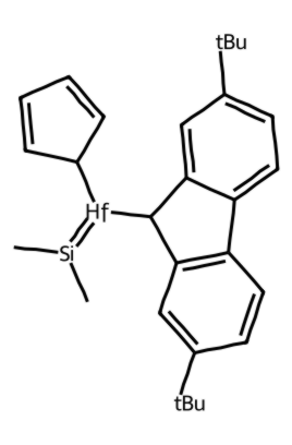 C[Si](C)=[Hf]([CH]1C=CC=C1)[CH]1c2cc(C(C)(C)C)ccc2-c2ccc(C(C)(C)C)cc21